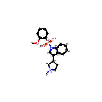 COc1ccccc1S(=O)(=O)n1cc(C2CCN(C)C2)c2ccccc21